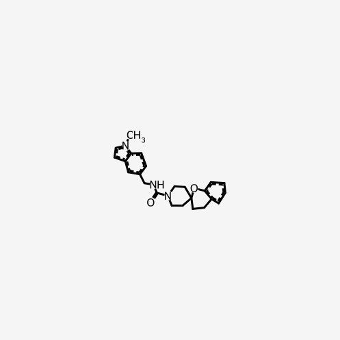 Cn1ccc2cc(CNC(=O)N3CCC4(CCc5ccccc5O4)CC3)ccc21